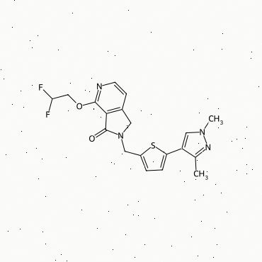 Cc1nn(C)cc1-c1ccc(CN2Cc3ccnc(OCC(F)F)c3C2=O)s1